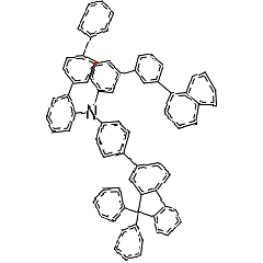 c1ccc(-c2ccc(-c3ccccc3N(c3ccc(-c4ccc5c(c4)C(c4ccccc4)(c4ccccc4)c4ccccc4-5)cc3)c3cccc(-c4cccc(-c5cccc6ccccc56)c4)c3)cc2)cc1